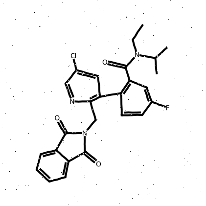 CCN(C(=O)c1cc(F)ccc1-c1cc(Cl)cnc1CN1C(=O)c2ccccc2C1=O)C(C)C